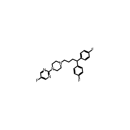 Fc1ccc(C(CCCN2CCN(c3ncc(F)cn3)CC2)c2ccc(F)cc2)cc1